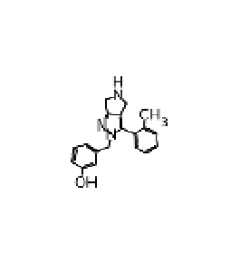 Cc1ccccc1-c1c2c(nn1Cc1cccc(O)c1)CNC2